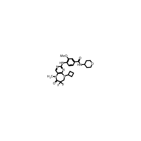 COc1cc(C(=O)NC2CCOCC2)ccc1Nc1ncc2c(n1)N(C1CCC1)CC(F)(F)C(=O)N2C